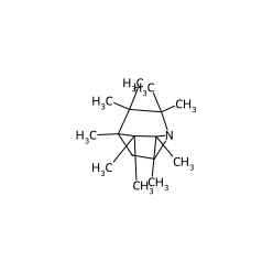 CC1(C)N2CCC(C)(C1(C)C)C(C)(C)C2(C)C